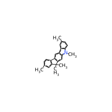 Cc1ccc2c(c1)C(C)(C)c1cc3c(cc1-2)c1cc(C)ccc1n3C